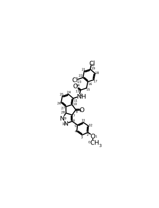 COc1ccc(C2=C3C(=O)c4c(NC(=O)Cc5ccc(Cl)cc5Cl)cccc4C3N=N2)cc1